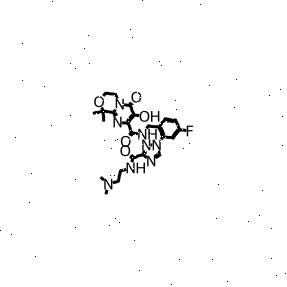 CN(C)CCNC(=O)c1ncn(-c2cc(F)ccc2CNC(=O)c2nc3n(c(=O)c2O)CCOC3(C)C)n1